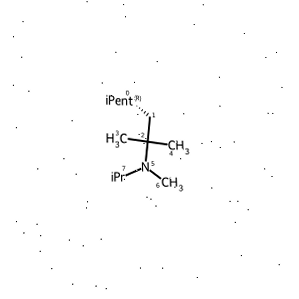 CCC[C@@H](C)CC(C)(C)N(C)C(C)C